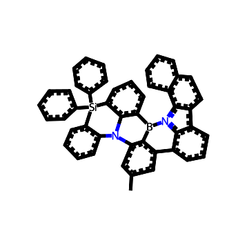 Cc1cc2c3c(c1)N1c4ccccc4[Si](c4ccccc4)(c4ccccc4)c4cccc(c41)B3n1c3c-2cccc3c2ccc3ccccc3c21